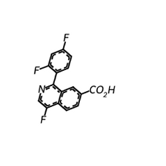 O=C(O)c1ccc2c(F)cnc(-c3ccc(F)cc3F)c2c1